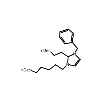 CCCCCCCCCCCCCCCN1C=CN(Cc2ccccc2)C1CCCCCCCCCCCC